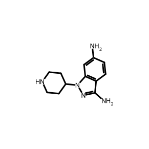 Nc1ccc2c(N)nn(C3CCNCC3)c2c1